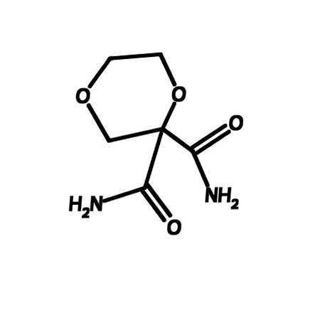 NC(=O)C1(C(N)=O)COCCO1